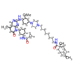 COc1cc(N2CCN(CCCCCCCCNC(=O)C3(C)CC4CC(C)CC(C4)C3)CC2)ccc1Nc1ncc2c(C)cc(=O)n(-c3cccc(NC(=O)C4CC4)c3)c2n1